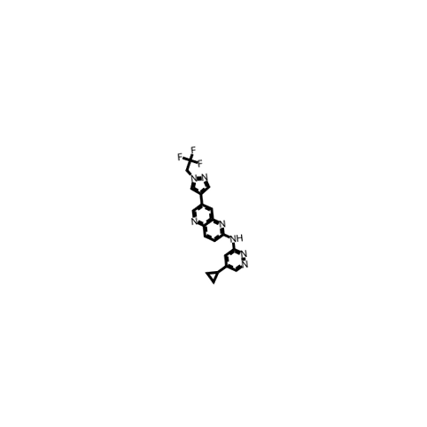 FC(F)(F)Cn1cc(-c2cnc3ccc(Nc4cc(C5CC5)cnn4)nc3c2)cn1